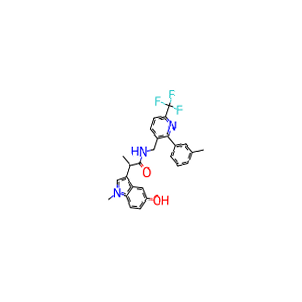 Cc1cccc(-c2nc(C(F)(F)F)ccc2CNC(=O)C(C)c2cn(C)c3ccc(O)cc23)c1